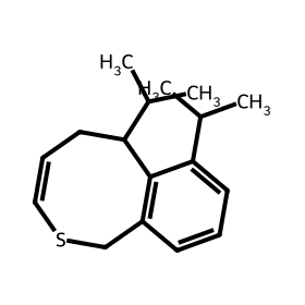 CC(C)c1cccc2c1C(C(C)C)C/C=C\SC2